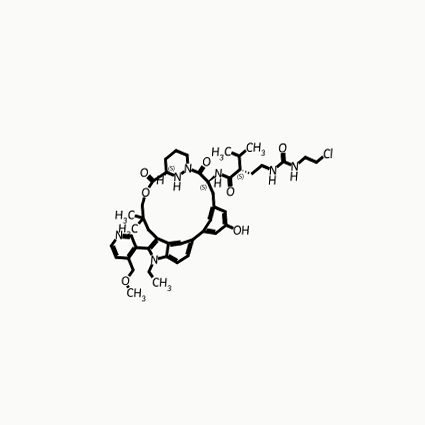 CCn1c(-c2cnccc2COC)c2c3cc(ccc31)-c1cc(O)cc(c1)C[C@H](NC(=O)[C@@H](CCNC(=O)NCCCl)C(C)C)C(=O)N1CCC[C@H](N1)C(=O)OCC(C)(C)C2